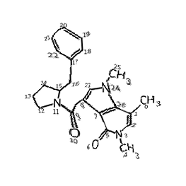 Cc1cn(C)c(=O)c2c(C(=O)N3CCCC3Cc3ccccc3)cn(C)c12